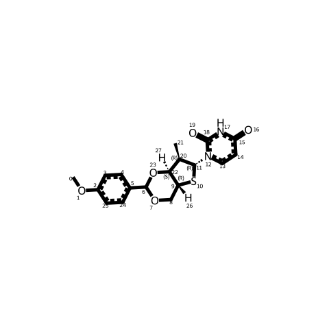 COc1ccc(C2OC[C@H]3S[C@@H](n4ccc(=O)[nH]c4=O)[C@H](C)[C@@H]3O2)cc1